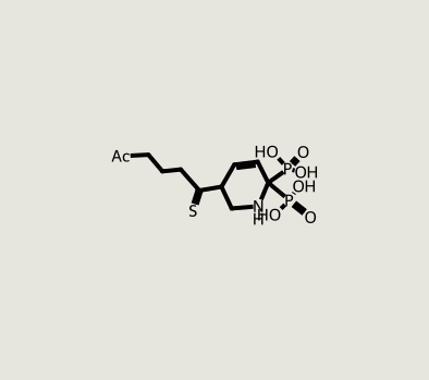 CC(=O)CCCC(=S)C1C=CC(P(=O)(O)O)(P(=O)(O)O)NC1